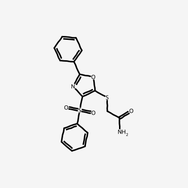 NC(=O)CSc1oc(-c2ccccc2)nc1S(=O)(=O)c1ccccc1